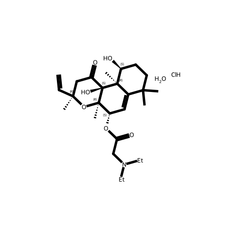 C=C[C@@]1(C)CC(=O)[C@@]2(O)[C@](C)(O1)[C@@H](OC(=O)CN(CC)CC)C=C1C(C)(C)CC[C@H](O)[C@@]12C.Cl.O